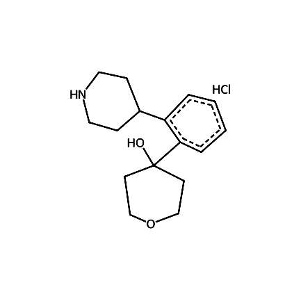 Cl.OC1(c2ccccc2C2CCNCC2)CCOCC1